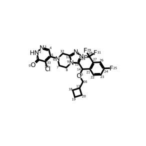 O=c1[nH]ncc(N2CCn3c(nnc3C(OCC3CCC3)c3ccc(F)cc3C(F)(F)F)C2)c1Cl